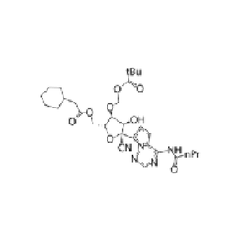 CCCC(=O)Nc1ncnn2c([C@]3(C#N)O[C@H](COC(=O)CC4CCCCC4)[C@@H](OCOC(=O)C(C)(C)C)[C@H]3O)ccc12